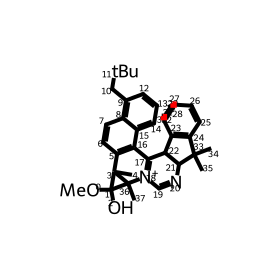 COC1(O)C2(C)c3ccc4c(CC(C)(C)C)cccc4c3C3=[N+](C=NC4C3c3c(ccc5ccccc35)C4(C)C)C12C